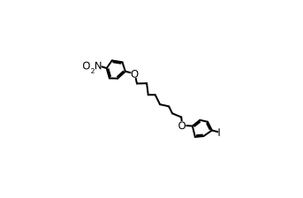 O=[N+]([O-])c1ccc(OCCCCCCCCOc2ccc(I)cc2)cc1